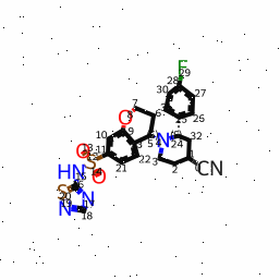 N#CC1CCN([C@H]2CCOc3cc(S(=O)(=O)Nc4ncns4)ccc32)[C@H](c2ccc(F)cc2)C1